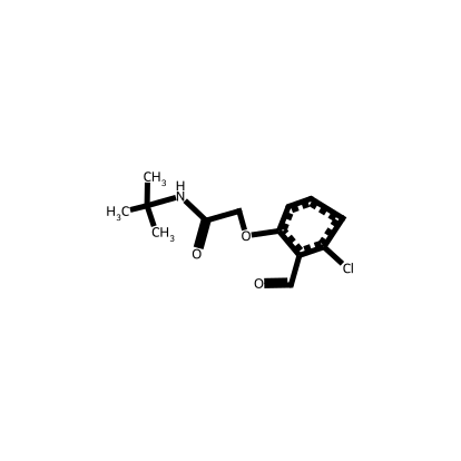 CC(C)(C)NC(=O)COc1cccc(Cl)c1C=O